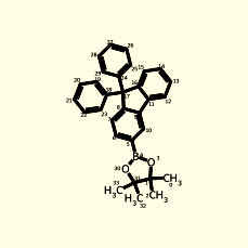 CC1(C)OB(c2ccc3c(c2)-c2ccccc2C3(c2ccccc2)c2ccccc2)OC1(C)C